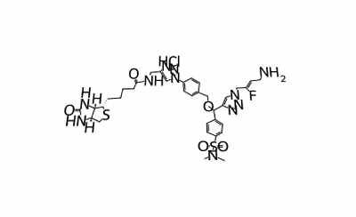 CN(C)S(=O)(=O)c1ccc(C(OCc2ccc(-n3cc(CNC(=O)CCCC[C@@H]4SC[C@@H]5NC(=O)N[C@@H]54)nn3)cc2)c2cn(C/C(F)=C/CN)nn2)cc1.Cl